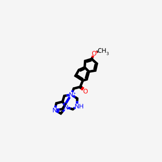 COc1ccc2cc(C(=O)C[N+]34CNCN5CN(CC5C3)C4)ccc2c1